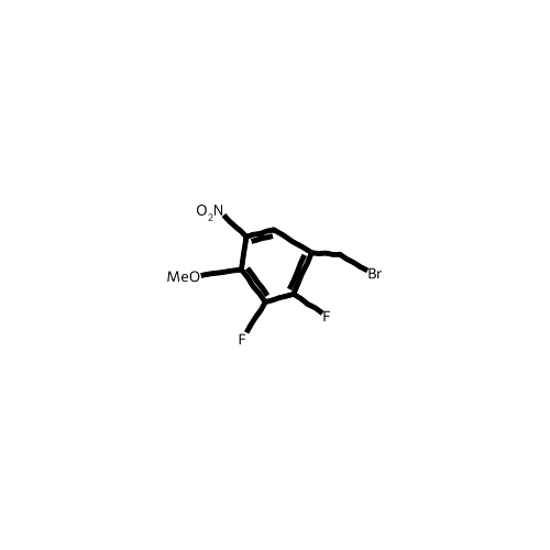 COc1c([N+](=O)[O-])cc(CBr)c(F)c1F